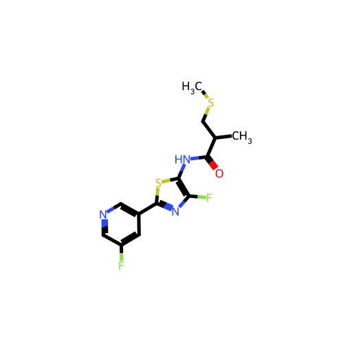 CSCC(C)C(=O)Nc1sc(-c2cncc(F)c2)nc1F